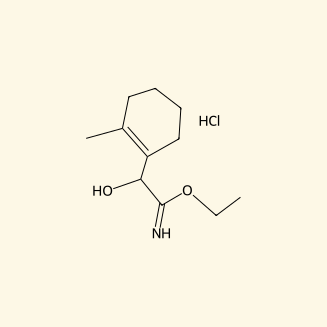 CCOC(=N)C(O)C1=C(C)CCCC1.Cl